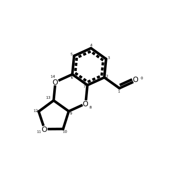 O=Cc1cccc2c1OC1COCC1O2